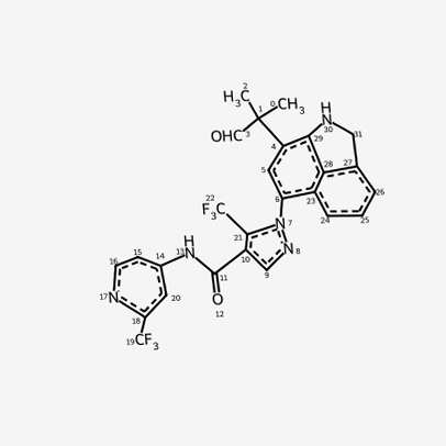 CC(C)(C=O)c1cc(-n2ncc(C(=O)Nc3ccnc(C(F)(F)F)c3)c2C(F)(F)F)c2cccc3c2c1NC3